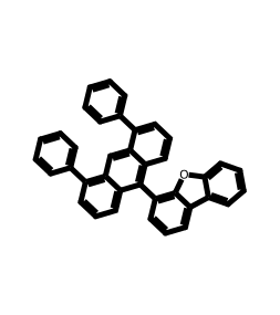 c1ccc(-c2cccc3c(-c4cccc5c4oc4ccccc45)c4cccc(-c5ccccc5)c4cc23)cc1